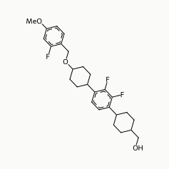 COc1ccc(COC2CCC(c3ccc(C4CCC(CO)CC4)c(F)c3F)CC2)c(F)c1